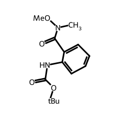 CON(C)C(=O)c1ccccc1NC(=O)OC(C)(C)C